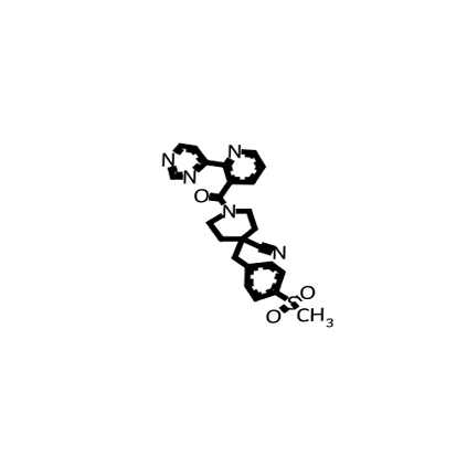 CS(=O)(=O)c1ccc(CC2(C#N)CCN(C(=O)c3cccnc3-c3ccncn3)CC2)cc1